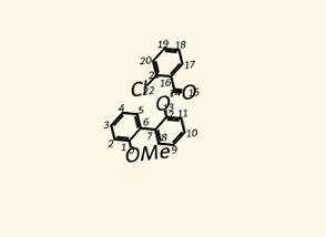 COc1ccccc1-c1ccccc1OC(=O)c1ccccc1Cl